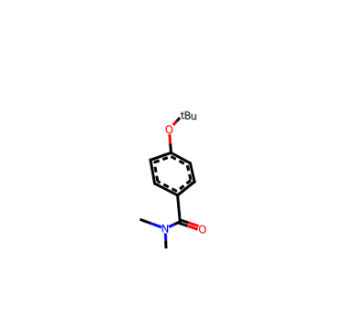 CN(C)C(=O)c1ccc(OC(C)(C)C)cc1